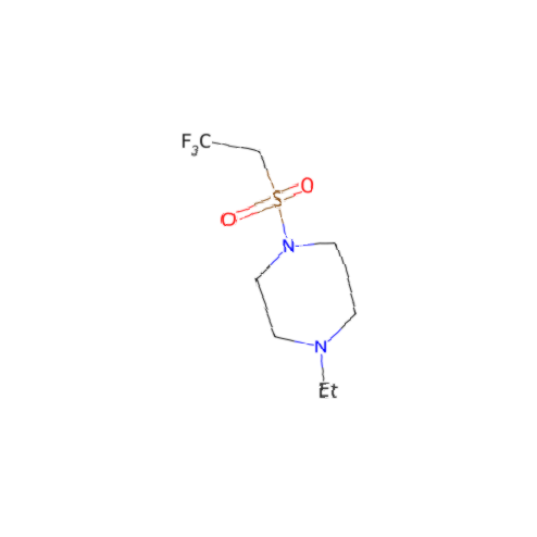 CCN1CCN(S(=O)(=O)CC(F)(F)F)CC1